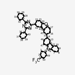 FC(F)(F)c1ccc(-n2c3ccccc3c3cc(-c4ccc5oc6ccc(-c7nc(-c8ccccc8)nc(-c8ccccc8)n7)cc6c5c4)ccc32)cc1